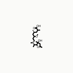 CCCC(C)(O)C(O)C(C)N(C)CCC(C[C@@H](C)CC(C)C(=O)O)OC